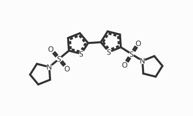 O=S(=O)(c1ccc(-c2ccc(S(=O)(=O)N3CCCC3)s2)s1)N1CCCC1